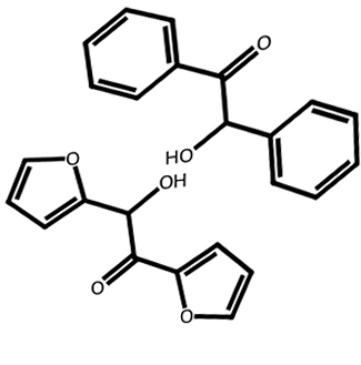 O=C(c1ccccc1)C(O)c1ccccc1.O=C(c1ccco1)C(O)c1ccco1